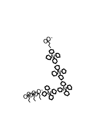 CCCC(=O)[O-].CCCC(=O)[O-].CCCC(=O)[O-].CCCC(=O)[O-].c1ccc([N+](c2ccccc2)(c2ccccc2)c2ccccc2)cc1.c1ccc([N+](c2ccccc2)(c2ccccc2)c2ccccc2)cc1.c1ccc([N+](c2ccccc2)(c2ccccc2)c2ccccc2)cc1.c1ccc([N+](c2ccccc2)(c2ccccc2)c2ccccc2)cc1